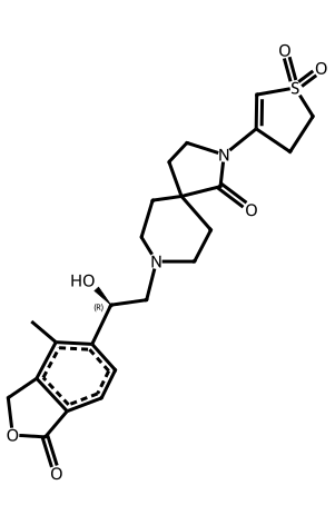 Cc1c([C@@H](O)CN2CCC3(CC2)CCN(C2=CS(=O)(=O)CC2)C3=O)ccc2c1COC2=O